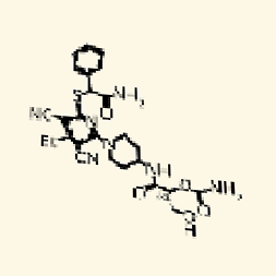 CCc1c(C#N)c(SC(C(N)=O)c2ccccc2)nc(N2CCC(NC(=O)[C@@H](CO)OC(N)=O)CC2)c1C#N